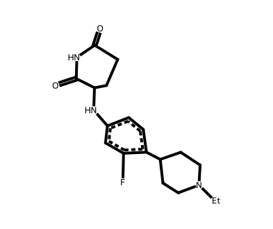 [CH2]CN1CCC(c2ccc(NC3CCC(=O)NC3=O)cc2F)CC1